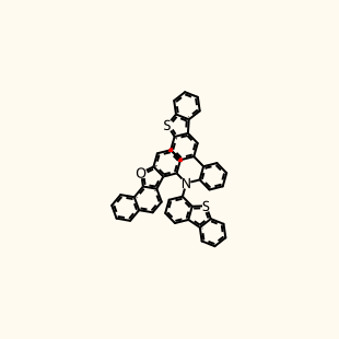 c1ccc(N(c2cccc3c2sc2ccccc23)c2cccc3oc4c5ccccc5ccc4c23)c(-c2ccc3sc4ccccc4c3c2)c1